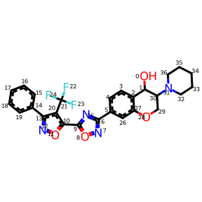 OC1c2ccc(-c3noc(-c4onc(-c5ccccc5)c4C(F)(F)F)n3)cc2OCC1N1CCCCC1